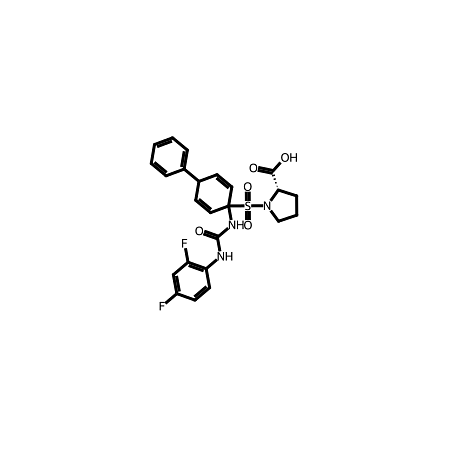 O=C(Nc1ccc(F)cc1F)NC1(S(=O)(=O)N2CCC[C@H]2C(=O)O)C=CC(c2ccccc2)C=C1